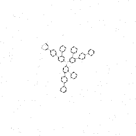 C1=CC(c2ccc(-c3ccc(N(c4ccc(-c5ccc(-c6ccccc6)cc5)c(-c5ccccc5)c4)c4ccc(-c5ccc(-c6ccccc6)cc5)c(-c5ccccc5)c4)cc3-c3ccccc3)cc2)=CCC1